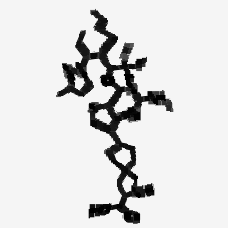 C/C=C/C=C(\C(=C/C)n1ccc(C)n1)C(Oc1nc(N)nc2c(C3=CCC4(CC3)CNC(C(=O)O)C4)csc12)C(F)(F)F